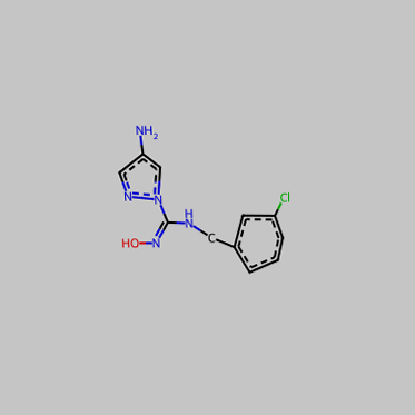 Nc1cnn(C(=NO)NCc2cccc(Cl)c2)c1